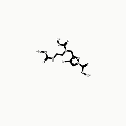 CC(C)(C)OC(=O)NCCN(Cc1nn(C(=O)OC(C)(C)C)cc1Br)C(=O)OC(C)(C)C